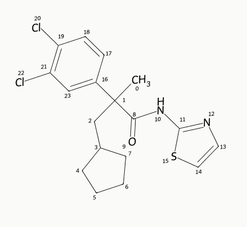 CC(CC1CCCC1)(C(=O)Nc1nccs1)c1ccc(Cl)c(Cl)c1